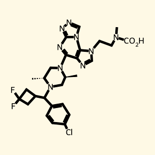 C[C@@H]1CN(c2nc3nncn3c3c2ncn3CCN(C)C(=O)O)[C@@H](C)CN1C(c1ccc(Cl)cc1)C1CC(F)(F)C1